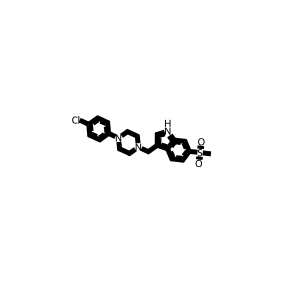 CS(=O)(=O)c1ccc2c(CN3CCN(c4ccc(Cl)cc4)CC3)c[nH]c2c1